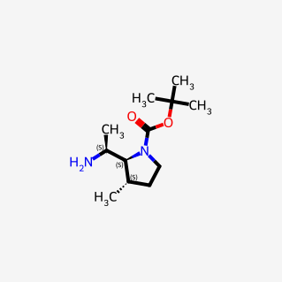 C[C@H](N)[C@@H]1[C@@H](C)CCN1C(=O)OC(C)(C)C